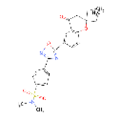 CCC1(CC)CC(=O)c2cc(-c3nc(-c4ccc(S(=O)(=O)N(C)C)cc4)no3)ccc2O1